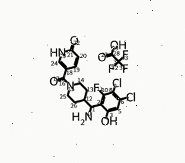 NC(c1c(O)cc(Cl)c(Cl)c1F)C1CCN(C(=O)c2ccc(=O)[nH]c2)CC1.O=C(O)C(F)(F)F